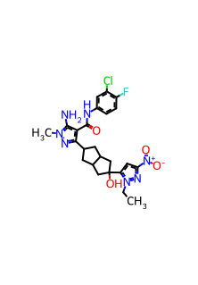 CCn1nc([N+](=O)[O-])cc1C1(O)CC2CC(c3nn(C)c(N)c3C(=O)Nc3ccc(F)c(Cl)c3)CC2C1